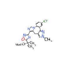 COC(C)(C)c1nc(-c2ncn3c2Cc2cn(C)nc2-c2cc(Cl)ccc2-3)no1